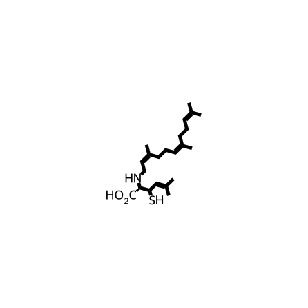 CC(C)=CCCC(C)=CCCC(C)=CCN[C@H](C(=O)O)C(S)C=C(C)C